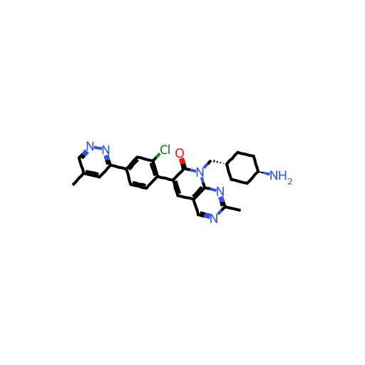 Cc1cnnc(-c2ccc(-c3cc4cnc(C)nc4n(C[C@H]4CC[C@H](N)CC4)c3=O)c(Cl)c2)c1